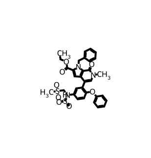 CCOC(=O)c1cc2c(-c3cc(N(CS(C)(=O)=O)[SH](=O)=O)ccc3Oc3ccccc3)cn(C)c(=O)c2n1Cc1ccccc1